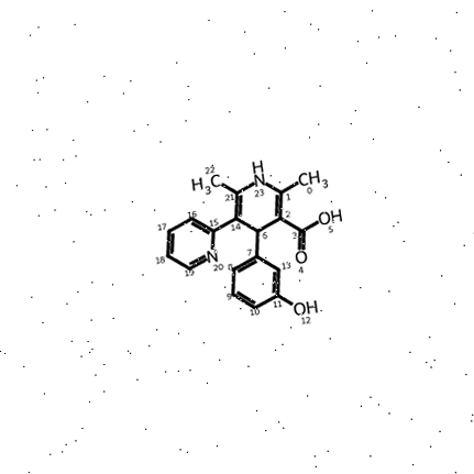 CC1=C(C(=O)O)C(c2cccc(O)c2)C(c2ccccn2)=C(C)N1